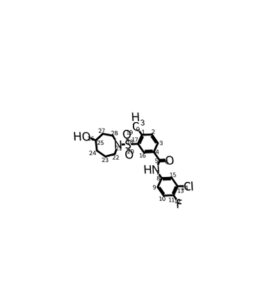 Cc1ccc(C(=O)Nc2ccc(F)c(Cl)c2)cc1S(=O)(=O)N1CCCC(O)CC1